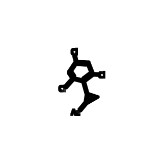 CC(=O)C1CC1c1c(Cl)cc(Cl)cc1Cl